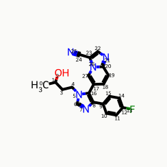 CC(O)CCn1cnc(-c2ccc(F)cc2)c1-c1ccc2ncc(C#N)n2c1